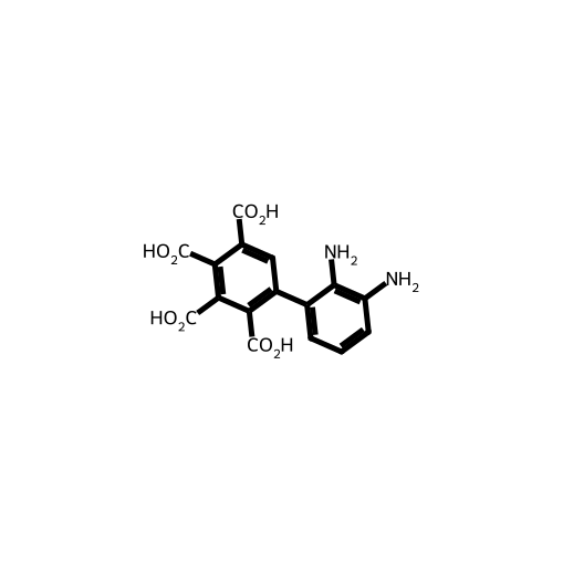 Nc1cccc(-c2cc(C(=O)O)c(C(=O)O)c(C(=O)O)c2C(=O)O)c1N